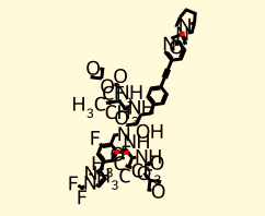 CC(C)(C(NC(=O)OC1COC1)C(=O)NC(Cc1ccc(C#Cc2ccc(N3CC4CCC(C3)N4C3COC3)nc2)cc1)C(O)CN(Cc1c(F)cc(-c2ccn(C(F)F)n2)cc1F)NC(=O)C(NC(=O)OC1COC1)C(C)(C)C(F)(F)F)C(F)(F)F